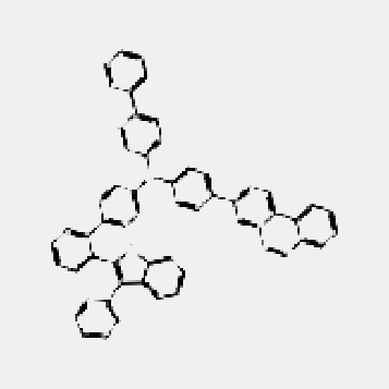 c1ccc(-c2ccc(N(c3ccc(-c4ccc5c(ccc6ccccc65)c4)cc3)c3ccc(-c4ccccc4-c4oc5ccccc5c4-c4ccccc4)cc3)cc2)cc1